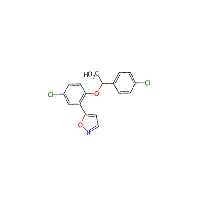 O=C(O)C(Oc1ccc(Cl)cc1-c1ccno1)c1ccc(Cl)cc1